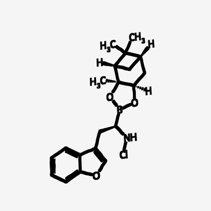 CC1(C)[C@@H]2C[C@H]3OB([C@H](Cc4coc5ccccc45)NCl)O[C@@]3(C)[C@H]1C2